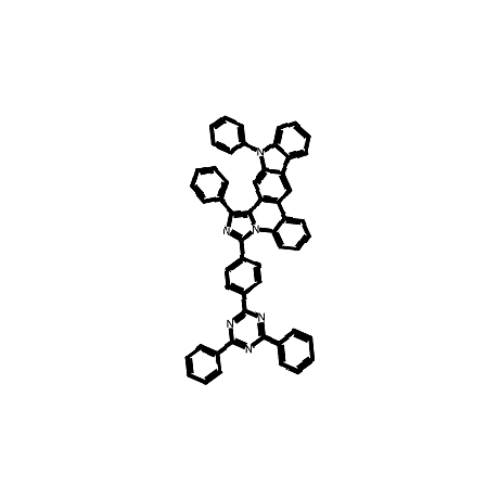 c1ccc(-c2nc(-c3ccccc3)nc(-c3ccc(-c4nc(-c5ccccc5)c5c6cc7c(cc6c6ccccc6n45)c4ccccc4n7-c4ccccc4)cc3)n2)cc1